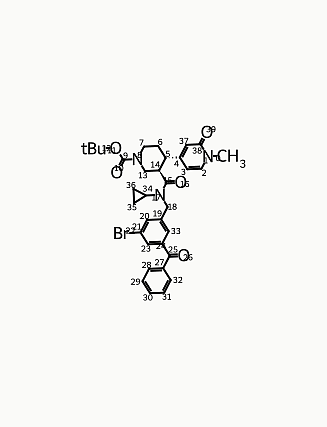 Cn1ccc([C@H]2CCN(C(=O)OC(C)(C)C)C[C@@H]2C(=O)N(Cc2cc(Br)cc(C(=O)c3ccccc3)c2)C2CC2)cc1=O